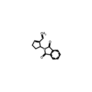 C=CC1=CCCC1N1C(=O)c2ccccc2C1=O